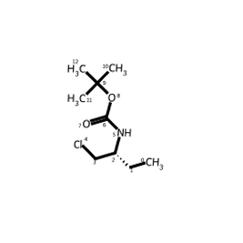 CC[C@H](CCl)NC(=O)OC(C)(C)C